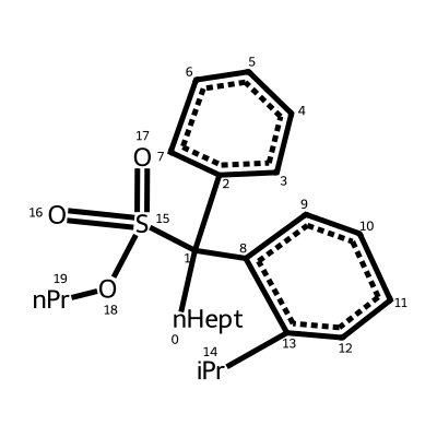 CCCCCCCC(c1ccccc1)(c1ccccc1C(C)C)S(=O)(=O)OCCC